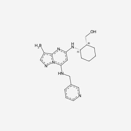 Bc1cnn2c(NCc3cccnc3)cc(N[C@H]3CCCC[C@H]3CO)nc12